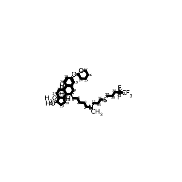 CN(CCCCC[C@@H]1Cc2cc(OC3CCCCO3)ccc2[C@H]2CC[C@]3(C)[C@@H](O)CC[C@H]3[C@H]12)CCCSCCCC(F)(F)C(F)(F)F